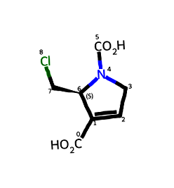 O=C(O)C1=CCN(C(=O)O)[C@@H]1CCl